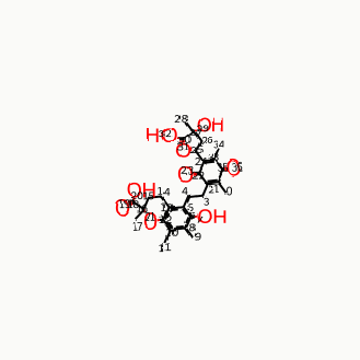 CC1=C(CCc2c(O)c(C)c(C)c3c2CCC(C)(C(=O)O)O3)C(=O)C(CCC(C)(O)C(=O)O)=C(C)C1=O